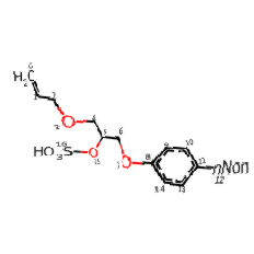 C=CCOCC(COc1ccc(CCCCCCCCC)cc1)OS(=O)(=O)O